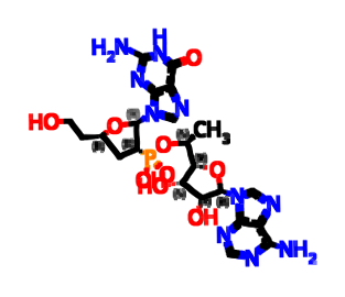 C[C@H](OP(=O)(O)[C@@H]1C[C@@H](CCO)O[C@H]1n1cnc2c(=O)[nH]c(N)nc21)[C@@H]1O[C@@H](n2cnc3c(N)ncnc32)[C@H](O)[C@@H]1O